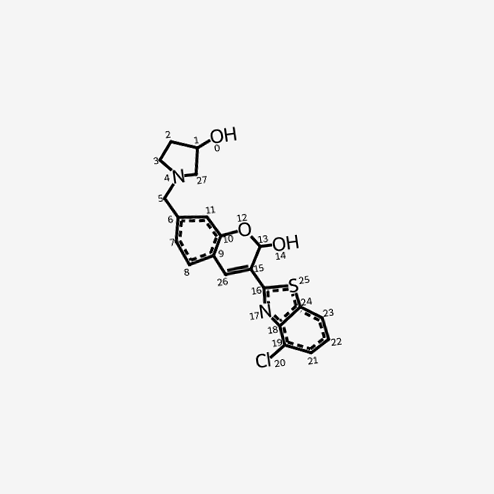 OC1CCN(Cc2ccc3c(c2)OC(O)C(c2nc4c(Cl)cccc4s2)=C3)C1